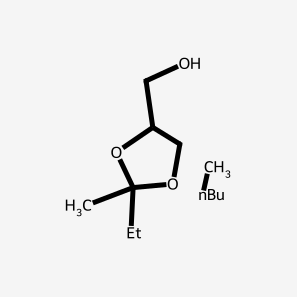 CCC1(C)OCC(CO)O1.CCCCC